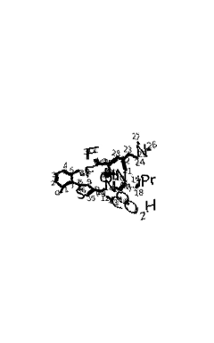 Cc1cccc(C)c1C1CC([C@@H](CC(=O)O)NC(=O)[C@@H](CC(C)C)n2cc(CCN(C)C)cc(C(F)F)c2=O)=CS1